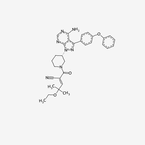 CCOC(C)(C)/C=C(\C#N)C(=O)N1CCC[C@H](n2nc(-c3ccc(Oc4ccccc4)cc3)c3c(N)ncnc32)C1